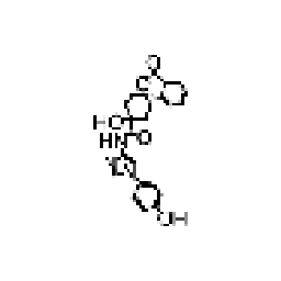 O=C1OC2(CCC(O)(C(=O)Nc3cn(-c4ccc(O)cc4)cn3)CC2)c2ccccc21